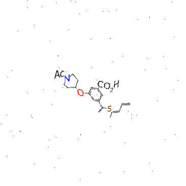 C=C/C=C(/C)SC(=C)c1cc(OC2CCN(C(C)=O)CC2)cc(C(=O)O)c1